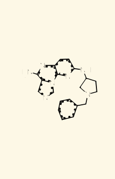 Nc1nc2ccc(NC3CCN(Cc4ccccc4)C3)nc2n2cncc12